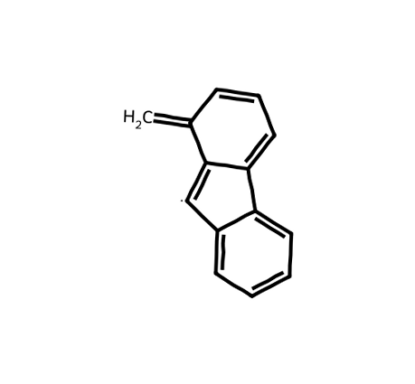 C=c1cccc2c1=[C]c1ccccc1-2